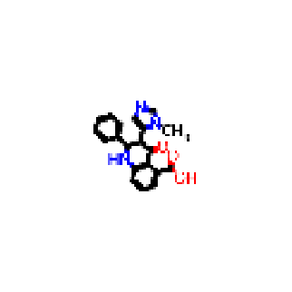 Cn1cncc1C1C(=O)c2c(cccc2C(=O)O)NC1c1ccccc1